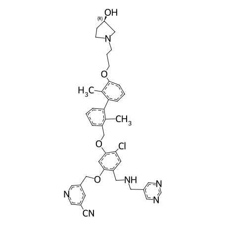 Cc1c(COc2cc(OCc3cncc(C#N)c3)c(CNCc3cncnc3)cc2Cl)cccc1-c1cccc(OCCCN2CC[C@@H](O)C2)c1C